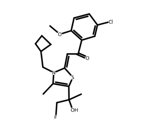 COc1ccc(Cl)cc1C(=O)C=C1SC(C(C)(O)CF)=C(C)N1CC1CCC1